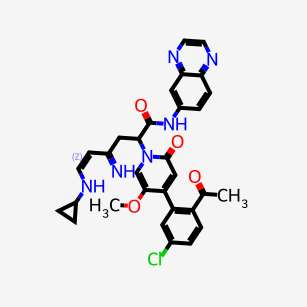 COc1cn(C(CC(=N)/C=C\NC2CC2)C(=O)Nc2ccc3nccnc3c2)c(=O)cc1-c1cc(Cl)ccc1C(C)=O